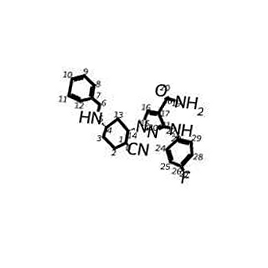 N#C[C@H]1CC[C@H](NCc2ccccc2)C[C@@H]1n1cc(C(N)=O)c(Nc2ccc(F)cc2)n1